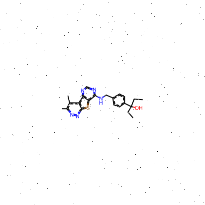 CCC(O)(CC)c1ccc(CNc2ncnc3c2sc2nnc(C)c(C)c23)cc1